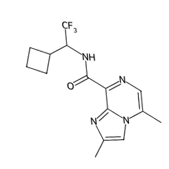 Cc1cn2c(C)cnc(C(=O)NC(C3CCC3)C(F)(F)F)c2n1